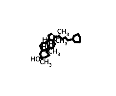 C[C@H](CCCC1CCCCC1)[C@H]1CC[C@H]2[C@@H]3CC=C4C[C@@](C)(O)CC[C@]4(C)[C@H]3CC[C@]12C